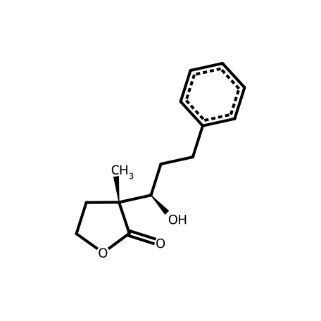 C[C@]1([C@H](O)CCc2ccccc2)CCOC1=O